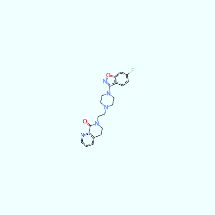 O=C1c2ncccc2CCN1CCN1CCN(c2noc3cc(F)ccc23)CC1